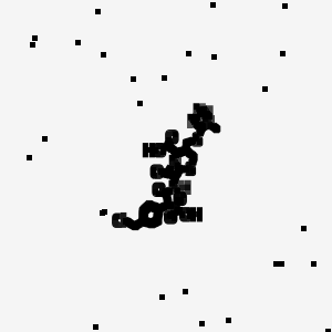 Cn1nnnc1SCC1=C(C(=O)O)N2C(=O)C(NC(=O)C(c3ccc(CCl)cc3)S(=O)(=O)O)C2SC1